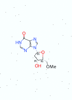 COC[C@H]1O[C@@H](n2cnc3c(=O)[nH]cnc32)C[C@H]1O